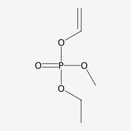 C=COP(=O)(OC)OCC